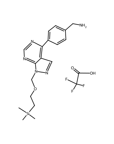 C[Si](C)(C)CCOCn1ncc2c(-c3ccc(CN)cc3)ncnc21.O=C(O)C(F)(F)F